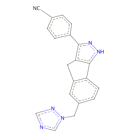 N#Cc1ccc(-c2n[nH]c3c2Cc2cc(Cn4cncn4)ccc2-3)cc1